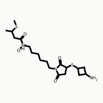 CSC(C)CC(=O)[NH+]([O-])CCCCCCN1C(=O)CC(SC2CC(N)C2)C1=O